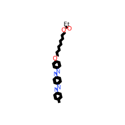 CCC(=O)OCCCCCCCCCOc1ccc(N=Nc2ccc(N=Nc3ccc(C)cc3)cc2)cc1